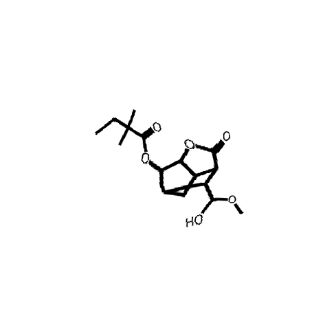 CCC(C)(C)C(=O)OC1C2CC3C1OC(=O)C3C2C(O)OC